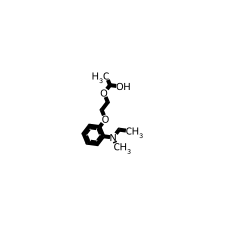 CCN(C)c1ccccc1OCCOC(C)O